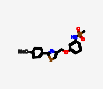 COc1ccc(-c2nc(COc3cccc(NS(C)(=O)=O)c3)cs2)cc1